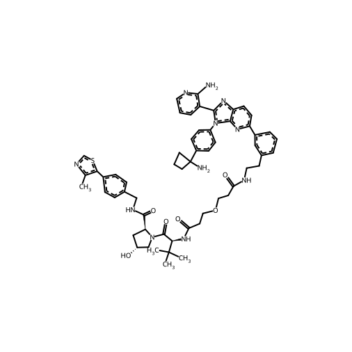 Cc1ncsc1-c1ccc(CNC(=O)[C@@H]2C[C@@H](O)CN2C(=O)[C@@H](NC(=O)CCOCCC(=O)NCCc2cccc(-c3ccc4nc(-c5cccnc5N)n(-c5ccc(C6(N)CCC6)cc5)c4n3)c2)C(C)(C)C)cc1